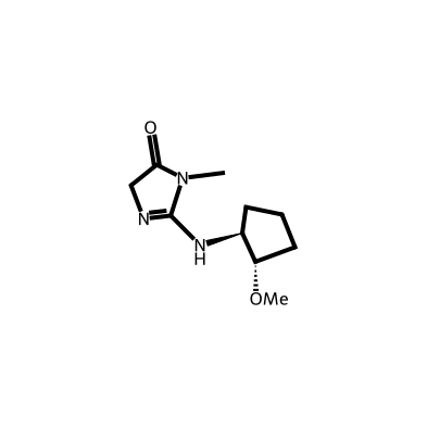 CO[C@H]1CCC[C@@H]1NC1=NCC(=O)N1C